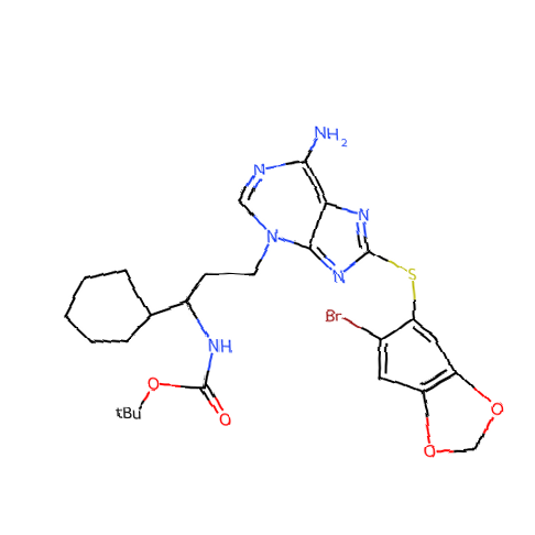 CC(C)(C)OC(=O)NC(CCn1cnc(N)c2nc(Sc3cc4c(cc3Br)OCO4)nc1-2)C1CCCCC1